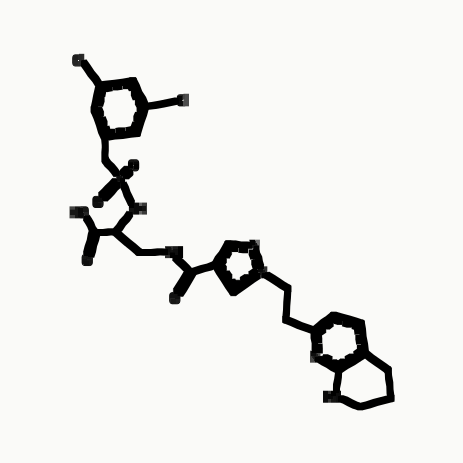 O=C(NCC(NS(=O)(=O)Cc1cc(Cl)cc(Cl)c1)C(=O)O)c1cnn(CCc2ccc3c(n2)NCCC3)c1